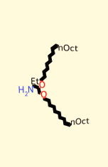 CCCCCCCC/C=C\CCCCCCCCOCC(OCCCCCCCC/C=C\CCCCCCCC)C(N)CC